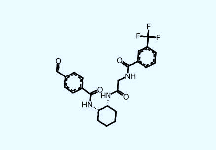 O=Cc1ccc(C(=O)N[C@H]2CCCC[C@H]2NC(=O)CNC(=O)c2cccc(C(F)(F)F)c2)cc1